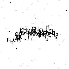 C=C1C[C@H]2C=Nc3cc(OCCCC(=O)Nc4cn(C)c(C(=O)Nc5cc(C(=O)n6ccc7cc(NC(C)(C)C)ccc76)n(C)c5)n4)c(OC)cc3C(=O)N2C1